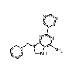 Nc1nc(-c2cncnc2)nc2c1NCN2Cc1ccccc1